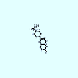 Cc1ccc2cc(C3CCC(C(=O)O)CC3)ccc2c1